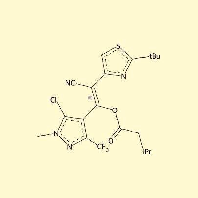 CC(C)CC(=O)O/C(=C(/C#N)c1csc(C(C)(C)C)n1)c1c(C(F)(F)F)nn(C)c1Cl